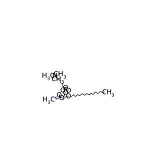 C/C=C/C(=O)O[C@@H](COCCCCCCCCCCCCCCCC)COP(=O)([O-])OCCCCCC[N+](C)(C)C